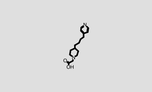 O=C(O)CN1CCC(CCCCc2ccncc2)CC1